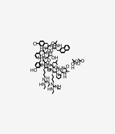 CC(=O)O.CC(=O)O.CCNC(=NCCCC[C@H](NC(=O)[C@H](CC(C)C)NC(=O)[C@@H](CCCCN=C(NCC)NCC)NC(=O)[C@H](Cc1ccc(O)cc1)NC(=O)[C@H](CO)NC(=O)[C@@H](Cc1cccnc1)NC(=O)[C@@H](Cc1ccc(Cl)cc1)NC(=O)[C@@H](Cc1ccc2ccccc2c1)NC(C)=O)C(=O)N1CCC[C@H]1C(=O)N[C@H](C)C(N)=O)NCC